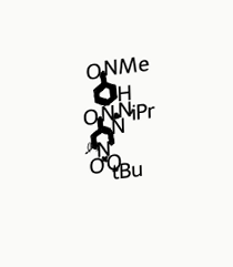 CNC(=O)c1ccc(-n2c(NC(C)C)nc3c(c2=O)C[C@@H](C)N(C(=O)OC(C)(C)C)C3)cc1